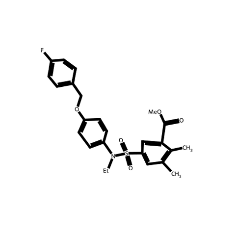 CCN(c1ccc(OCc2ccc(F)cc2)cc1)S(=O)(=O)c1cc(C)c(C)c(C(=O)OC)c1